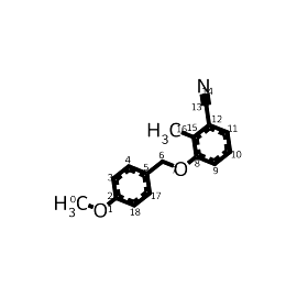 COc1ccc(COc2cccc(C#N)c2C)cc1